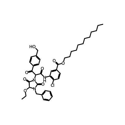 CCCCCCCCCCCCOC(=O)c1ccc(Cl)c(NC(=O)C(C(=O)c2ccc(CO)cc2)N2C(=O)C(OCC)N(Cc3ccccc3)C2=O)c1